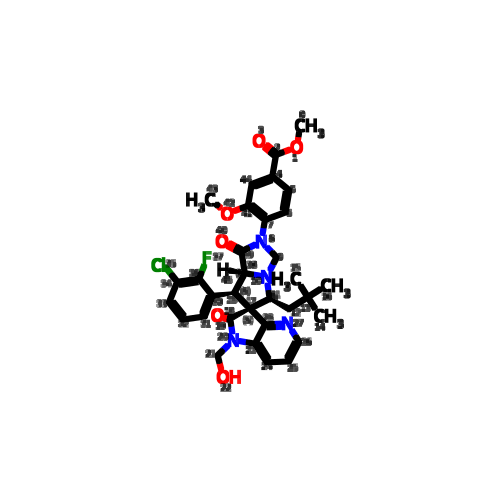 COC(=O)c1ccc(N2CN3[C@@H](CC(C)(C)C)[C@@]4(C(=O)N(CO)c5cccnc54)[C@@H](c4cccc(Cl)c4F)[C@@H]3C2=O)c(OC)c1